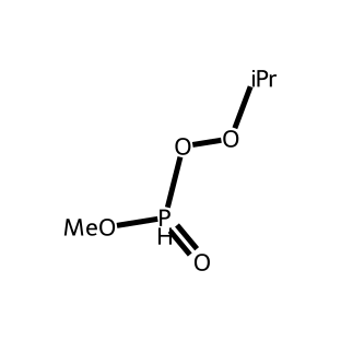 CO[PH](=O)OOC(C)C